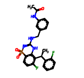 CC(=O)Nc1cccc(CNC2=NS(=O)(=O)c3ccc(F)c([C@@H](C)c4ccccc4F)c3N2)c1